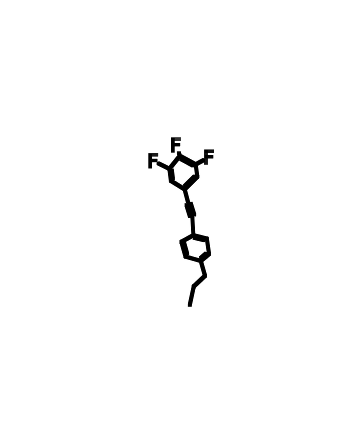 CCCc1ccc(C#Cc2cc(F)c(F)c(F)c2)cc1